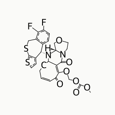 COC(=O)OCO/C1=C2\C(=O)N3CCOC[C@H]3N([C@@H]3c4ccsc4SCc4c3ccc(F)c4F)C2CC/C=C\C1=O